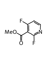 COC(=O)c1c(F)ccnc1F